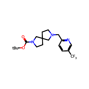 CC(C)(C)OC(=O)N1CCC2(CCN(Cc3ccc(C(F)(F)F)cn3)C2)C1